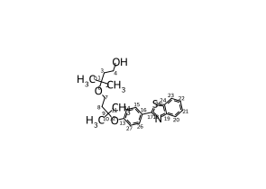 CC(C)(CCO)OCCC(C)(C)Oc1ccc(-c2nc3ccccc3s2)cc1